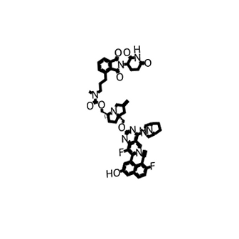 C#Cc1c(F)ccc2cc(O)cc(-c3ncc4c(N5CC6CCC(C5)N6)nc(OC[C@@]56CC[C@@H](COC(=O)N(C)CCCc7cccc8c7C(=O)N(C7CCC(=O)NC7=O)C8=O)N5CC(=C)C6)nc4c3F)c12